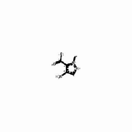 CCC(=O)c1c(N)cnn1C